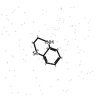 c1ccc2c(c1)NCC[Se]2